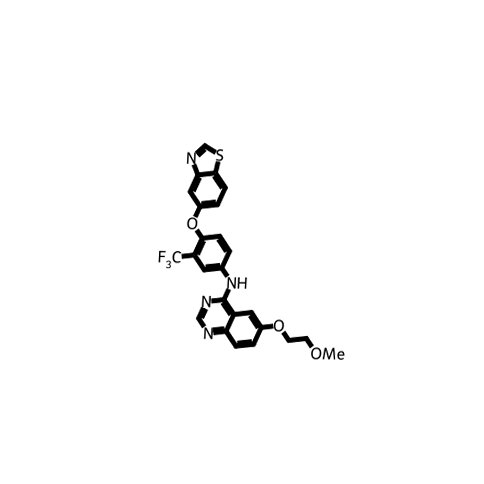 COCCOc1ccc2ncnc(Nc3ccc(Oc4ccc5scnc5c4)c(C(F)(F)F)c3)c2c1